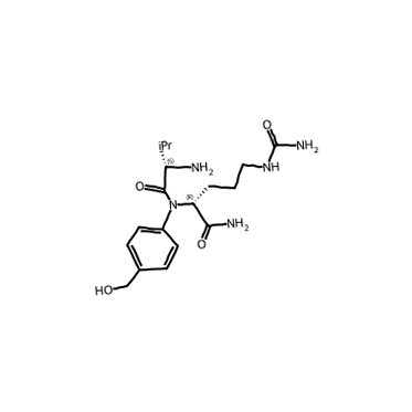 CC(C)[C@H](N)C(=O)N(c1ccc(CO)cc1)[C@H](CCCNC(N)=O)C(N)=O